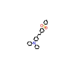 O=S(=O)(c1ccccc1)c1ccc(C=Cc2ccc(N(c3ccccc3)c3ccccc3)cc2)cc1